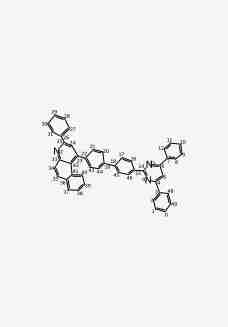 c1ccc(-c2cc(-c3ccccc3)nc(-c3ccc(-c4ccc(-c5cc(-c6ccccc6)nc6ccc7ccccc7c56)cc4)cc3)n2)cc1